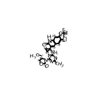 CC[C@H]1COC(=O)N1c1nc(C)nc(NC2(c3cc4cc(Cl)c(OC(F)(F)F)cc4[nH]c3=O)CC2)n1